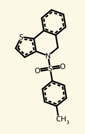 Cc1ccc(S(=O)(=O)N2Cc3ccccc3-c3sccc32)cc1